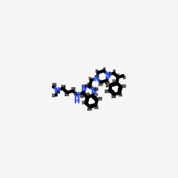 CC(CN1CCN(Cc2nc(NCCCN(C)C)c3ccccc3n2)CC1)c1ccccc1